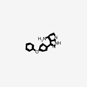 Nc1ccnc2[nH]nc(-c3ccc(Oc4ccccc4)cc3)c12